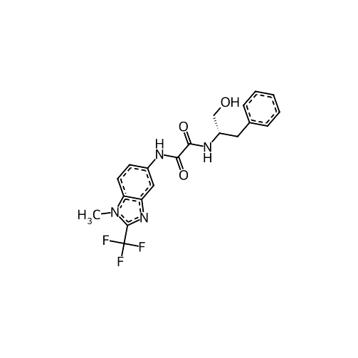 Cn1c(C(F)(F)F)nc2cc(NC(=O)C(=O)N[C@H](CO)Cc3ccccc3)ccc21